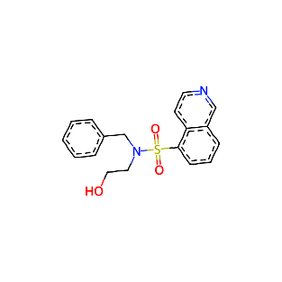 O=S(=O)(c1cccc2cnccc12)N(CCO)Cc1ccccc1